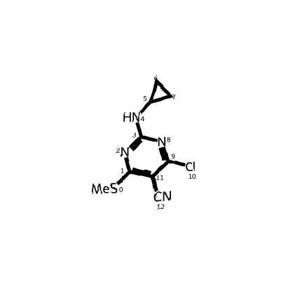 CSc1nc(NC2CC2)nc(Cl)c1C#N